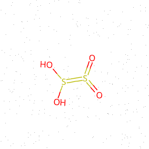 O=S(=O)=S(O)O